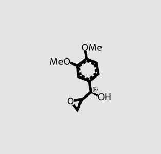 COc1ccc([C@@H](O)C2CO2)cc1OC